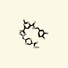 COC(=O)[C@@H]1CO[C@@H](Cn2nnc(-c3cc(C(=O)NCc4ccc(F)c(Br)c4)nc(C)n3)n2)CO1